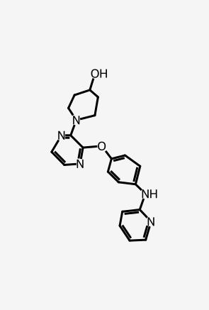 OC1CCN(c2nccnc2Oc2ccc(Nc3ccccn3)cc2)CC1